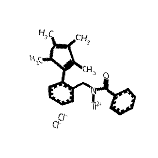 CC1=C(C)C(C)C(c2ccccc2C[N]([Ti+2])C(=O)c2ccccc2)=C1C.[Cl-].[Cl-]